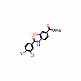 COC(=O)c1ccc(NC(=O)c2ccc(C#N)c(Cl)c2)c(O)c1